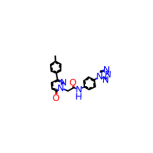 Cc1ccc(-c2ccc(=O)n(CC(=O)Nc3ccc(-n4cnnn4)cc3)n2)cc1